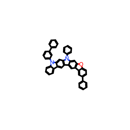 c1ccc(-c2cccc(-n3c4ccccc4c4cc5c6cc7c(cc6n(-c6ccccc6)c5cc43)oc3ccc(-c4ccccc4)cc37)c2)cc1